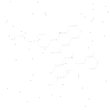 COc1ccc(N(C(=O)Nc2cccc(Cl)c2)C(C)c2nc3ccccc3c(=O)n2N2CCN(CCO)CC2)c(OC)c1